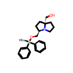 CC(C)(C)[Si](OC[C@H]1CC[C@@]2(CO)CCCN12)(c1ccccc1)c1ccccc1